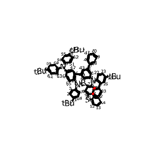 CC(C)(C)c1ccc(N2B3c4cc5sc6ccccc6c5cc4N(c4ccc(C(C)(C)C)cc4-c4ccccc4)c4cc(-c5ccccc5)cc(c43)-c3cc(N(c4ccc(C(C)(C)C)cc4)c4ccc(C(C)(C)C)cc4)ccc32)cc1